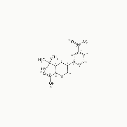 CC(C)(C)C1CC(c2cccc([N+](=O)[O-])c2)CCN1C(=O)O